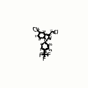 FC(F)(F)c1ccc(-n2nc(CCl)c3cc(Cl)ccc32)cc1